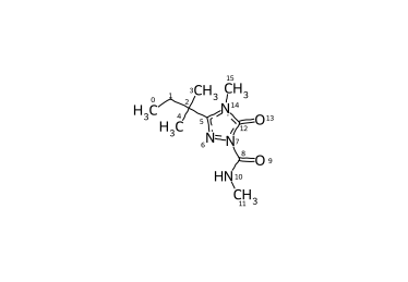 CCC(C)(C)c1nn(C(=O)NC)c(=O)n1C